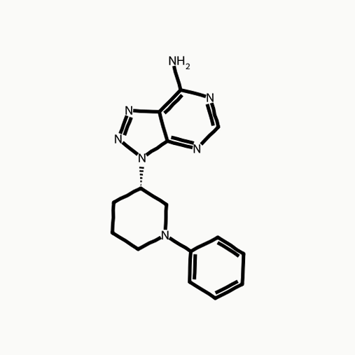 Nc1ncnc2c1nnn2[C@H]1CCCN(c2ccccc2)C1